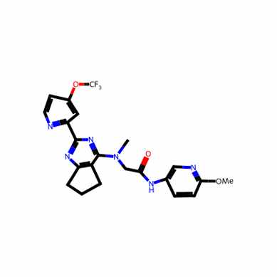 COc1ccc(NC(=O)CN(C)c2nc(-c3cc(OC(F)(F)F)ccn3)nc3c2CCC3)cn1